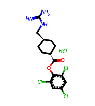 Cl.N=C(N)NC[C@H]1CC[C@H](C(=O)Oc2c(Cl)cc(Cl)cc2Cl)CC1